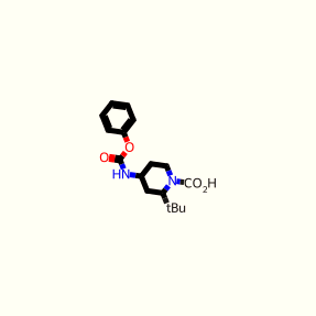 CC(C)(C)C1CC(NC(=O)Oc2ccccc2)CCN1C(=O)O